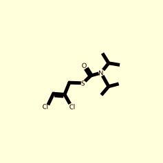 CC(C)N(C(=O)SCC(Cl)=CCl)C(C)C